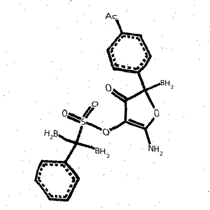 BC1(c2ccc(C(C)=O)cc2)OC(N)=C(OS(=O)(=O)C(B)(B)c2ccccc2)C1=O